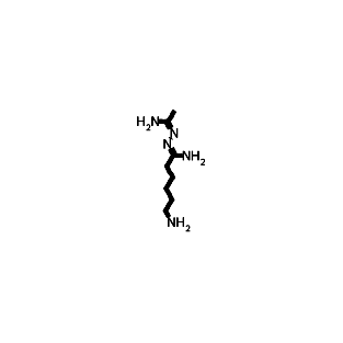 C/C(N)=N/N=C(\N)CCCCCN